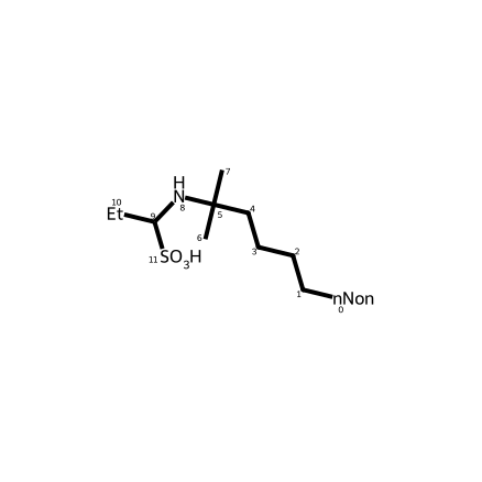 CCCCCCCCCCCCCC(C)(C)NC(CC)S(=O)(=O)O